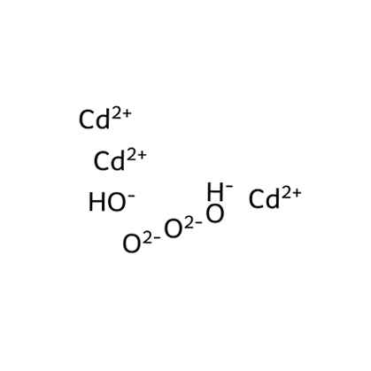 [Cd+2].[Cd+2].[Cd+2].[O-2].[O-2].[OH-].[OH-]